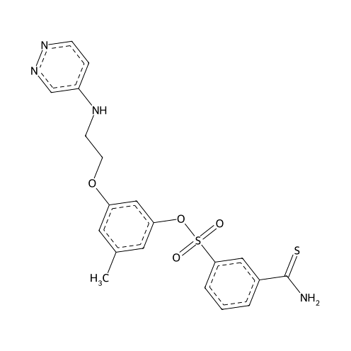 Cc1cc(OCCNc2ccnnc2)cc(OS(=O)(=O)c2cccc(C(N)=S)c2)c1